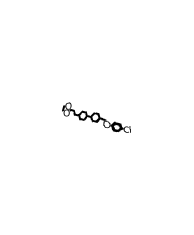 Clc1ccc(OCC2CCC(C3CCC(CCC4OCCO4)CC3)CC2)cc1